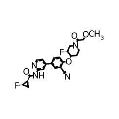 COCC(=O)N1CC[C@H](Oc2ccc(-c3ccnc(NC(=O)[C@H]4C[C@@H]4F)c3)cc2C#N)[C@H](F)C1